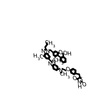 CCCc1nc2c(C)cc(-c3nc4ccc(N(C)CCOc5ccc(CC6SC(=O)NC6=O)cc5)cc4n3C)cc2n1Cc1ccc(-c2ccccc2C(=O)O)cc1